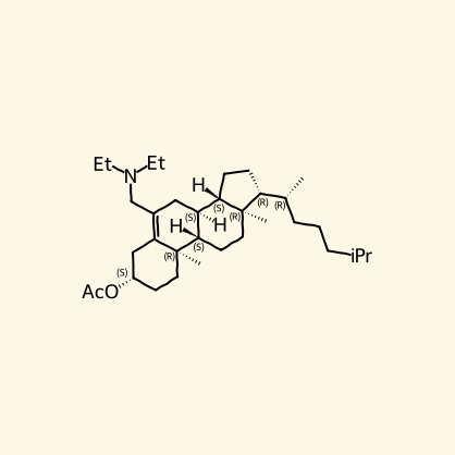 CCN(CC)CC1=C2C[C@@H](OC(C)=O)CC[C@]2(C)[C@H]2CC[C@]3(C)[C@@H]([C@H](C)CCCC(C)C)CC[C@H]3[C@@H]2C1